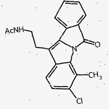 CC(=O)NCCc1c2n(c3c(C)c(Cl)ccc13)C(=O)c1ccccc1-2